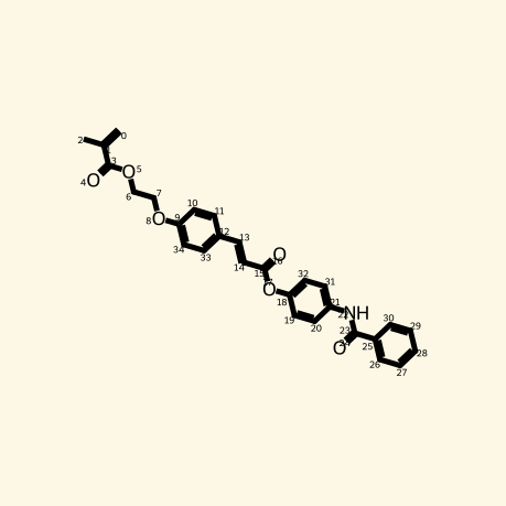 C=C(C)C(=O)OCCOc1ccc(/C=C/C(=O)Oc2ccc(NC(=O)c3ccccc3)cc2)cc1